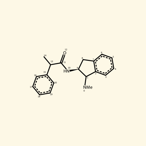 CNC1c2ccccc2C[C@@H]1NC(=O)C(C)c1ccccc1